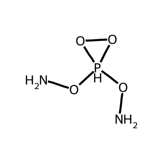 NO[PH]1(ON)OO1